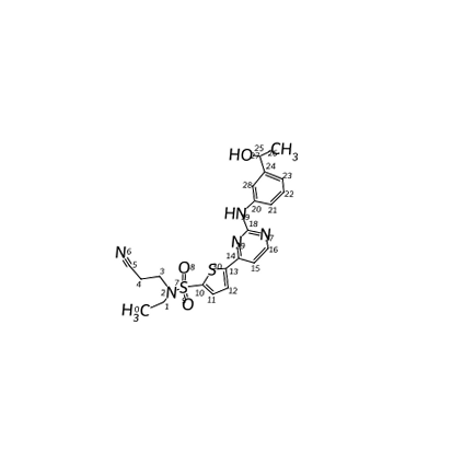 CCN(CCC#N)S(=O)(=O)c1ccc(-c2ccnc(Nc3cccc(C(C)O)c3)n2)s1